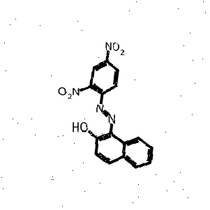 O=[N+]([O-])c1ccc(/N=N/c2c(O)ccc3ccccc23)c([N+](=O)[O-])c1